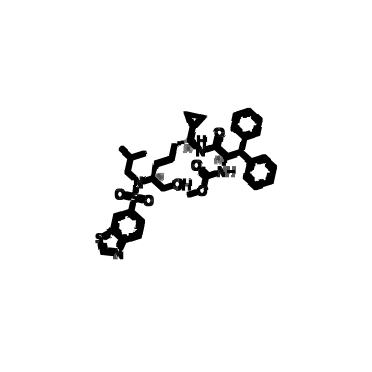 COC(=O)N[C@H](C(=O)N[C@H](CCC[C@@H](CO)N(CC(C)C)S(=O)(=O)c1ccc2ncsc2c1)C1CC1)C(c1ccccc1)c1ccccc1